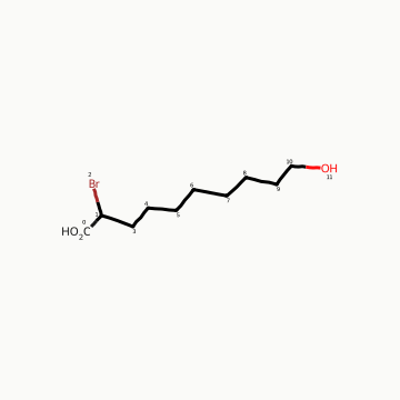 O=C(O)C(Br)CCCCCCCCO